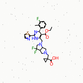 CCOC(=O)C1=C(CN2CC(F)(F)C3CN(CC4(C(=O)O)CC4)CC32)NC(c2nccs2)=NC1c1cccc(F)c1C